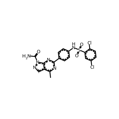 Cc1nc(-c2ccc(NS(=O)(=O)c3cc(Cl)ccc3Cl)cc2)nc2c1[c]nn2C(N)=O